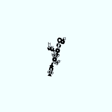 O=C(NS(=O)(=O)c1ccc(NCC2CC3(CCN(S(=O)(=O)C4CC4)CC3)C2)c([N+](=O)[O-])c1)c1ccc(N2CCN([C@@H]3CCCCc4c(Cl)cccc43)CC2)cc1Oc1cnc2[nH]ccc2c1